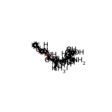 CC[C@H](C)[C@H](NC(=O)CNC(=O)[C@@H](N)Cc1c[nH]c2cc(OCc3ccccc3)ccc12)C(=O)NCC(=O)N[C@@H](CS)C(=O)N[C@@H](CC(N)=O)C(=O)N1C[C@H](O)C[C@H]1C(=O)O